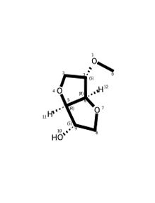 CO[C@H]1CO[C@H]2[C@@H]1OC[C@@H]2O